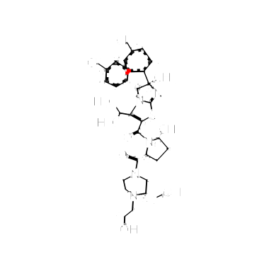 CC(C)C1=C(C(=O)N2[C@H](C)CC[C@@H]2C(=O)N2CCN(CCO)[C@@H](CO)C2)SC2=N[C@@](C)(c3ccc(Cl)cc3)[C@@H](c3ccc(Cl)cc3)N21